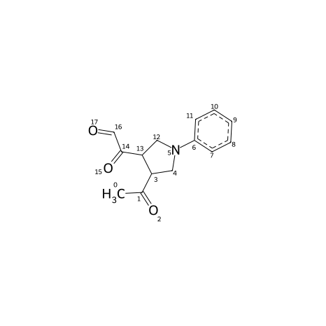 CC(=O)C1CN(c2ccccc2)CC1C(=O)C=O